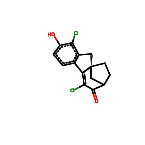 O=C1C(Cl)=C2c3ccc(O)c(Cl)c3C[C@@]23CCC1C3